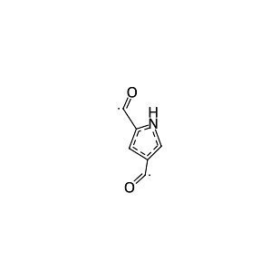 O=[C]c1c[nH]c([C]=O)c1